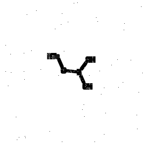 OB(O)O[TeH]